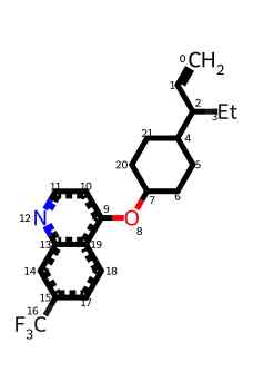 C=CC(CC)C1CCC(Oc2ccnc3cc(C(F)(F)F)ccc23)CC1